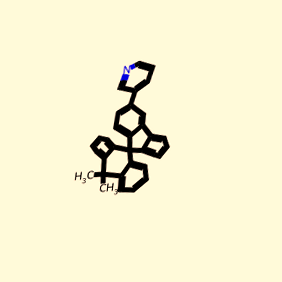 CC1(C)c2ccccc2C2(c3ccccc3-c3cc(-c4cccnc4)ccc32)c2ccccc21